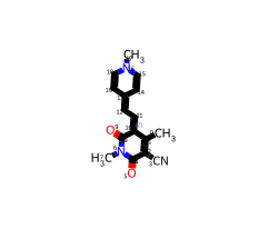 CC1=C(C#N)C(=O)N(C)C(=O)/C1=C\C=C1C=CN(C)C=C1